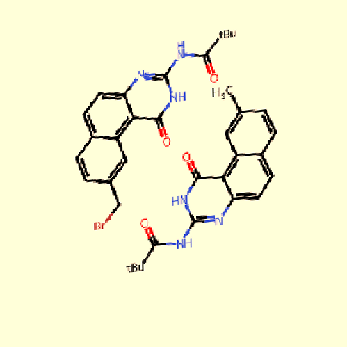 CC(C)(C)C(=O)Nc1nc2ccc3ccc(CBr)cc3c2c(=O)[nH]1.Cc1ccc2ccc3nc(NC(=O)C(C)(C)C)[nH]c(=O)c3c2c1